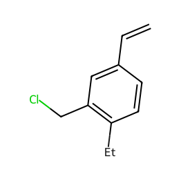 C=Cc1ccc(CC)c(CCl)c1